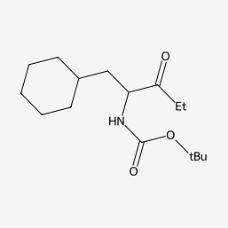 CCC(=O)C(CC1CCCCC1)NC(=O)OC(C)(C)C